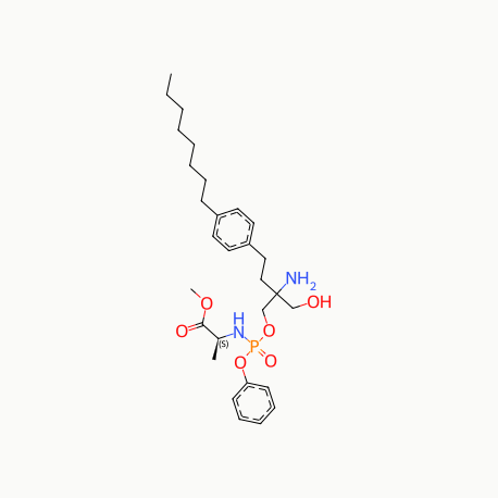 CCCCCCCCc1ccc(CCC(N)(CO)COP(=O)(N[C@@H](C)C(=O)OC)Oc2ccccc2)cc1